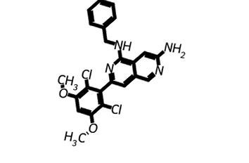 COc1cc(OC)c(Cl)c(-c2cc3cnc(N)cc3c(NCc3ccccc3)n2)c1Cl